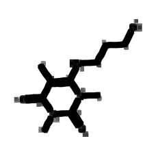 Cc1c(NCCCO)n(C)c(=O)n(C)c1=O